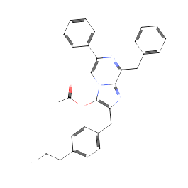 CCCc1ccc(Cc2nc3c(Cc4ccccc4)nc(-c4ccccc4)cn3c2OC(C)=O)cc1